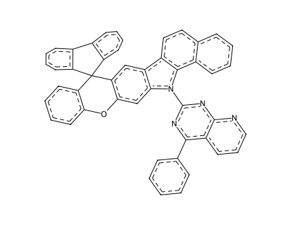 c1ccc(-c2nc(-n3c4cc5c(cc4c4ccc6ccccc6c43)C3(c4ccccc4O5)c4ccccc4-c4ccccc43)nc3ncccc23)cc1